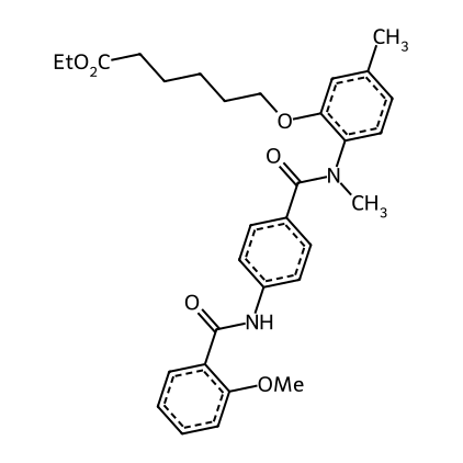 CCOC(=O)CCCCCOc1cc(C)ccc1N(C)C(=O)c1ccc(NC(=O)c2ccccc2OC)cc1